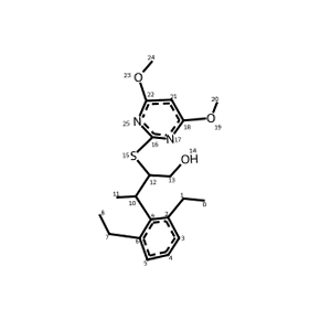 CCc1cccc(CC)c1C(C)C(CO)Sc1nc(OC)cc(OC)n1